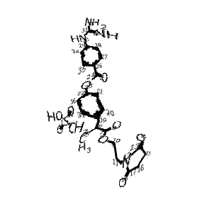 CS(=O)(=O)O.C[C@H](C(=O)OCCN1C(=O)CCC1=O)c1ccc(OC(=O)c2ccc(NC(=N)N)cc2)cc1